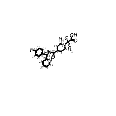 CC(C)(C(=O)O)N1CCC(C(=O)NC(c2ccc(F)cc2)c2ccccn2)CC1